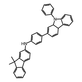 CC1(C)c2ccccc2-c2ccc(Nc3ccc(C4=CC5C(C=C4)c4ccccc4N5c4ccccc4)cc3)cc21